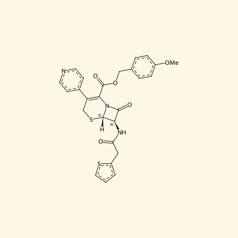 COc1ccc(COC(=O)C2=C(c3ccncc3)CS[C@H]3[C@H](NC(=O)Cc4cccs4)C(=O)N23)cc1